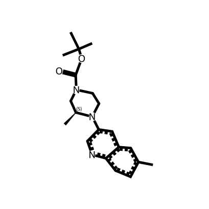 Cc1ccc2ncc(N3CCN(C(=O)OC(C)(C)C)C[C@@H]3C)cc2c1